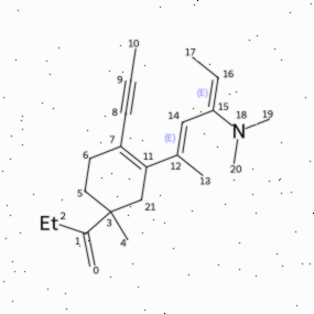 C=C(CC)C1(C)CCC(C#CC)=C(/C(C)=C/C(=C\C)N(C)C)C1